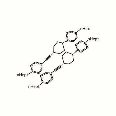 CCCCCCCc1ccc(C#C[C@H]2CC[C@H](c3ccc(CCCCCC)cc3)CC2)cc1.CCCCCCCc1ccc(C#C[C@H]2CC[C@H](c3ccc(CCCCCCC)cc3)CC2)cc1